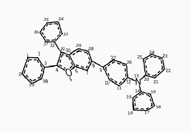 c1ccc(-c2oc3cc(-c4ccc(N(c5ccccc5)c5ccccc5)cc4)ccc3c2-c2ccccc2)cc1